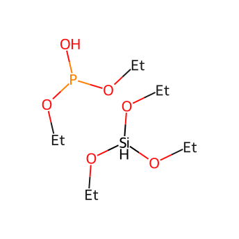 CCOP(O)OCC.CCO[SiH](OCC)OCC